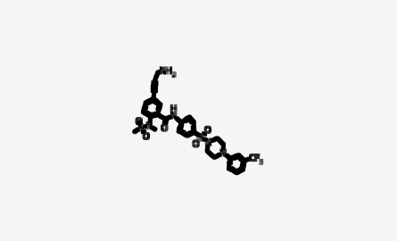 CN(c1ccc(C#CCN)cc1C(=O)Nc1ccc(S(=O)(=O)N2CCN(c3cccc(C(F)(F)F)c3)CC2)cc1)S(C)(=O)=O